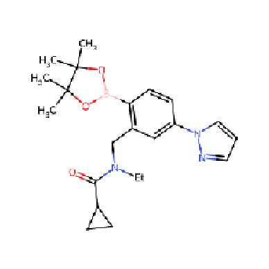 CCN(Cc1cc(-n2cccn2)ccc1B1OC(C)(C)C(C)(C)O1)C(=O)C1CC1